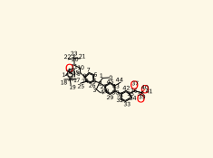 CCC(CC)(c1ccc(CCC(O[Si](C)(C)C(C)(C)C)C(C)(C)C)c(C)c1)c1ccc(-c2cccc(C(=O)C(=O)OC)c2)c(C)c1